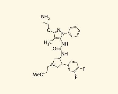 COCCN1CC(NC(=O)Nc2c(C)c(OCCN)nn2-c2ccccc2)C(c2ccc(F)c(F)c2)C1